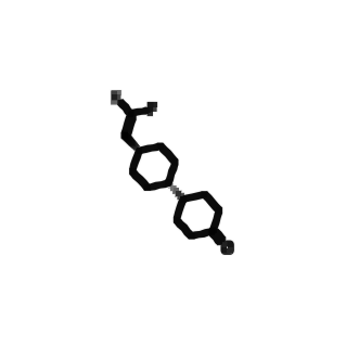 O=C1CCC([C@H]2CC[C@H](C=C(F)F)CC2)CC1